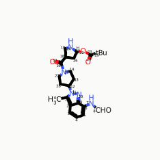 Cc1c2cccc(NC=O)c2nn1C1CCN(C(=O)C2CNC(OC(=O)C(C)(C)C)C2)CC1